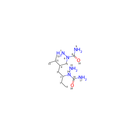 CCC(CC(CN(N)C(N)=O)C(C)C)N(N)C(N)=O